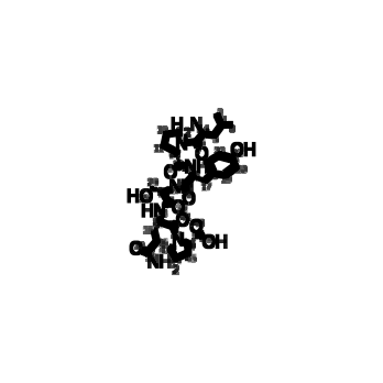 CC(C)C[C@H](N)C(=O)N1CCC[C@H]1C(=O)N[C@@H](Cc1ccc(O)cc1)C(=O)N[C@@H](CO)C(=O)N[C@@H](CCC(N)=O)C(=O)N1CCC[C@H]1C(=O)O